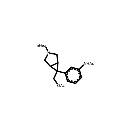 CCCCCCN1CC2C(C1)C2(COC(C)=O)c1cccc(NC(C)=O)c1